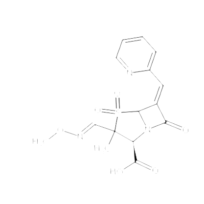 CO/N=C/C1(C)[C@H](C(=O)O)N2C(=O)/C(=C/c3ccccn3)C2S1(=O)=O